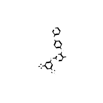 NS(=O)(=O)c1cc(Nc2ncc(F)c(Nc3ccc(Oc4cccnc4)cc3)n2)cc(S(N)(=O)=O)c1